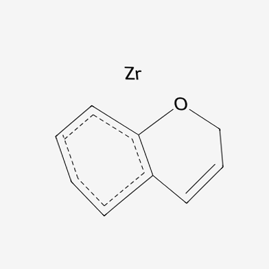 C1=Cc2ccccc2OC1.[Zr]